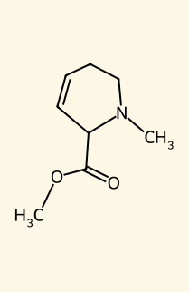 COC(=O)C1C=CCCN1C